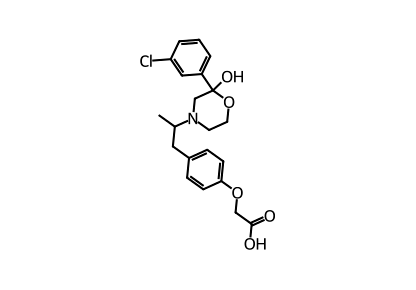 CC(Cc1ccc(OCC(=O)O)cc1)N1CCOC(O)(c2cccc(Cl)c2)C1